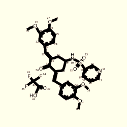 COc1ccc(/C=C2\CC(NS(=O)(=O)c3cccnc3)C/C(=C\c3ccc(OC)c(OC)c3)C2=O)cc1OC.O=C(O)C(F)(F)F